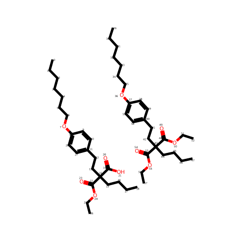 CCCCCCCOc1ccc(CCC(CCCC)(C(=O)O)C(=O)OCC)cc1.CCCCCCCOc1ccc(CCC(CCCC)(C(=O)OCC)C(=O)OCC)cc1